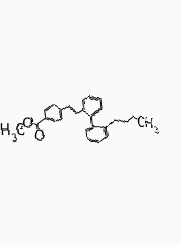 CCCCc1ccccc1-c1ccccc1/C=C/c1ccc(C(=O)OC)cc1